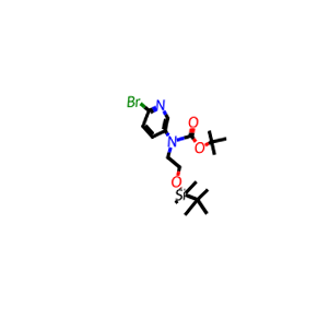 CC(C)(C)OC(=O)N(CCO[Si](C)(C)C(C)(C)C)c1ccc(Br)nc1